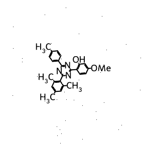 COc1ccc(-c2nc(-c3ccc(C)cc3)nc(-c3c(C)cc(C)cc3C)n2)c(O)c1